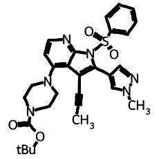 CC#Cc1c(-c2cnn(C)c2)n(S(=O)(=O)c2ccccc2)c2nccc(N3CCN(C(=O)OC(C)(C)C)CC3)c12